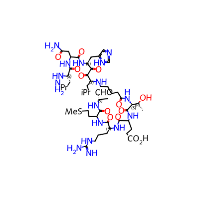 CSCCC(NC(=O)[C@H](CCCNC(=N)N)NC(=O)C(CCC(=O)O)NC(=O)[C@@H](NC(=O)CCCCN[C@@H](CC(C)C)C(=O)C(=O)[C@H](Cc1cnc[nH]1)NC(=O)C(CC(N)=O)NC(=O)[C@H](CC(C)C)NN)[C@@H](C)O)C(=O)N[C@@H](C)C=O